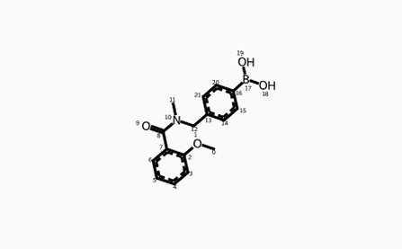 COc1ccccc1C(=O)N(C)Cc1ccc(B(O)O)cc1